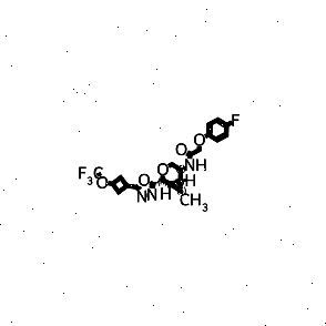 C[C@H]1[C@@H]2[C@H]1[C@H](c1nnc(C3CC(OC(F)(F)F)C3)o1)OC[C@H]2NC(=O)COc1ccc(F)cc1